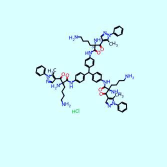 Cc1c(C(=O)[C@@](N)(CCCCN)C(=O)Nc2ccc(C(c3ccc(NC(=O)[C@](N)(CCCCN)C(=O)c4cnn(-c5ccccc5)c4C)cc3)c3ccc(NC(=O)[C@](N)(CCCCN)C(=O)c4cnn(-c5ccccc5)c4C)cc3)cc2)cnn1-c1ccccc1.Cl